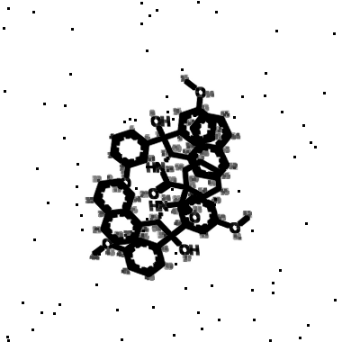 COc1cccc(C(O)(c2cccc(OC)c2)[C@@H](NC(=O)C2(C(=O)N[C@@H](c3cccc4ccccc34)C(O)(c3cccc(OC)c3)c3cccc(OC)c3)CCCCC2)c2cccc3ccccc23)c1